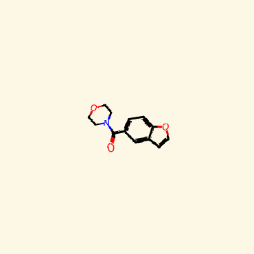 O=C(c1ccc2occc2c1)N1CCOCC1